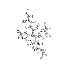 CCNC(=O)C(C)[C@H](C[C@@H]1CCNC1=O)NC(=O)[C@@H]1[C@@H](C(C)C)[C@@H](C)CN1C(=O)[C@@H](NC(=O)NC(C)(C)C)C(C)(C)C